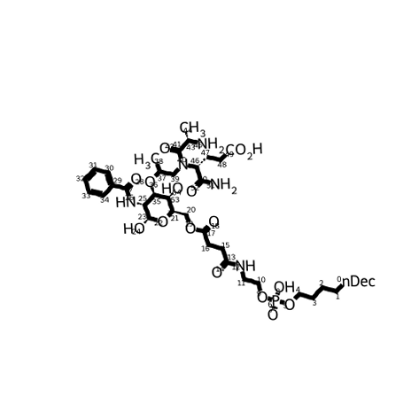 CCCCCCCCCCCCCCOP(=O)(O)OCCNC(=O)CCC(=O)OC[C@H]1O[C@H](O)[C@H](NC(=O)c2ccccc2)[C@@H](OC(C)CN(C(=O)[C@H](C)N)[C@H](CCC(=O)O)C(N)=O)[C@@H]1O